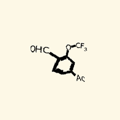 CC(=O)c1ccc(C=O)c(OC(F)(F)F)c1